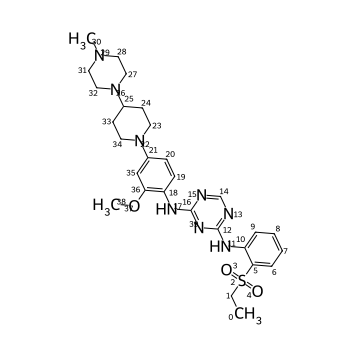 CCS(=O)(=O)c1ccccc1Nc1ncnc(Nc2ccc(N3CCC(N4CCN(C)CC4)CC3)cc2OC)n1